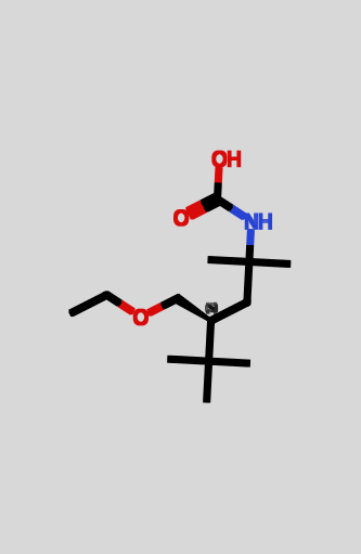 CCOC[C@@H](CC(C)(C)NC(=O)O)C(C)(C)C